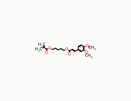 C=C(C)C(=O)OCCCCCOC(=O)C=Cc1ccc(OC)c(OC)c1